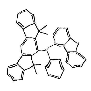 CC1(C)c2ccccc2-c2cc3c(c(N(c4ccccc4)c4cccc5sc6ccccc6c45)c21)C(C)(C)c1ccccc1-3